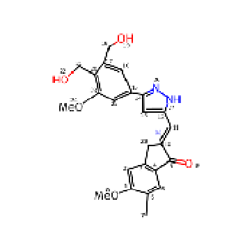 COc1cc2c(cc1C)C(=O)/C(=C/c1cc(-c3cc(CO)c(CO)c(OC)c3)n[nH]1)C2